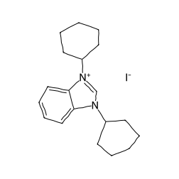 [I-].c1ccc2c(c1)n(C1CCCCC1)c[n+]2C1CCCCC1